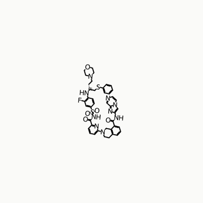 O=C(NS(=O)(=O)c1ccc(N[C@H](CCN2CCOCC2)CSc2ccccc2)c(F)c1)c1cccc(N2CCc3cccc(C(=O)Nc4cn5ccncc5n4)c3C2)n1